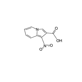 O=C(O)c1cn2ccccc2c1[N+](=O)[O-]